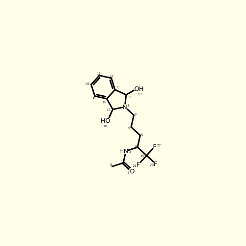 CC(=O)NC(CCCN1C(O)c2ccccc2C1O)C(F)(F)F